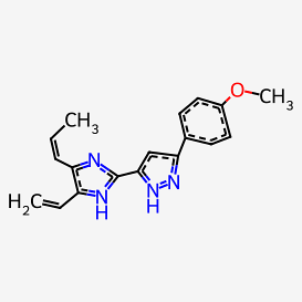 C=Cc1[nH]c(-c2cc(-c3ccc(OC)cc3)n[nH]2)nc1/C=C\C